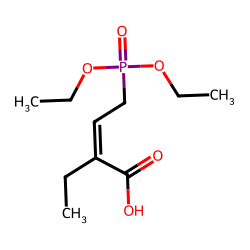 CCOP(=O)(CC=C(CC)C(=O)O)OCC